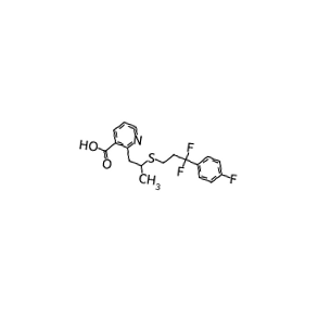 CC(Cc1ncccc1C(=O)O)SCCC(F)(F)c1ccc(F)cc1